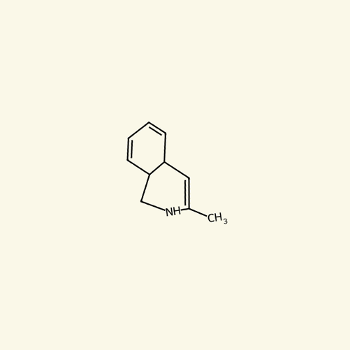 CC1=CC2C=CC=CC2CN1